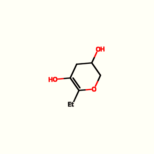 CCC1=C(O)CC(O)CO1